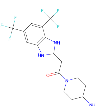 NC1CCN(C(=O)CC2Nc3cc(C(F)(F)F)cc(C(F)(F)F)c3N2)CC1